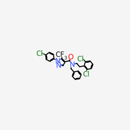 O=C(c1cnn(-c2ccc(Cl)cc2)c1C(F)(F)F)N(CCc1c(Cl)cccc1Cl)Cc1ccccc1